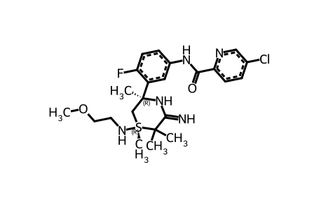 COCCN[S@]1(C)C[C@@](C)(c2cc(NC(=O)c3ccc(Cl)cn3)ccc2F)NC(=N)C1(C)C